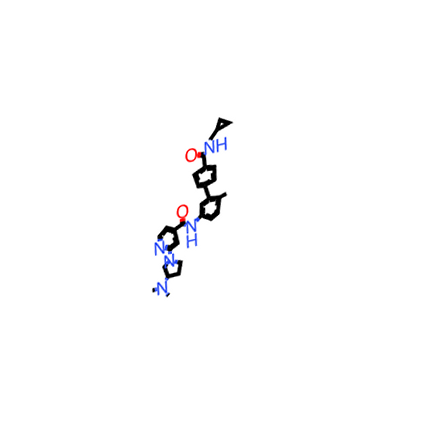 Cc1ccc(NC(=O)c2ccnc(N3CCC(N(C)C)C3)c2)cc1-c1ccc(C(=O)NCC2CC2)cc1